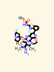 C=N/C(N)=C(\C=C/C)[C@@H](C)N1CCOc2nc(-c3cccc4sc(NC(=O)OC(C)(C)C)nc34)c(F)c3nc(OC[C@@]45CCCN4C[C@H](F)C5)nc1c23